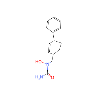 NC(=O)N(O)CC1C=CC(c2ccccc2)CC1